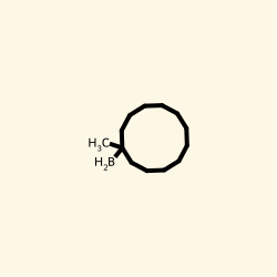 BC1(C)CCCCCCCCCCC1